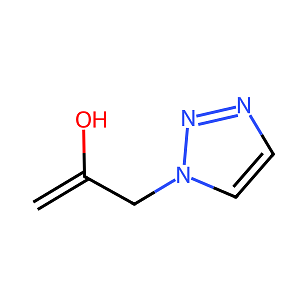 C=C(O)Cn1ccnn1